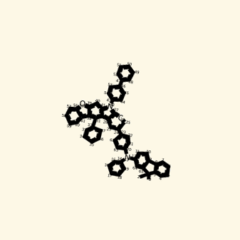 CC1(C)c2ccccc2-c2ccc(N(c3ccccc3)c3ccc(-c4ccc5c(c4)c4c(-c6ccccc6)c6c(cc4n5-c4ccc(-c5ccccc5)cc4)oc4ccccc46)cc3)cc21